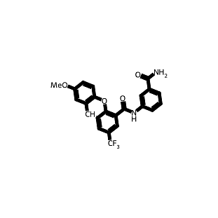 COc1ccc(Oc2ccc(C(F)(F)F)cc2C(=O)Nc2cccc(C(N)=O)c2)c(C)c1